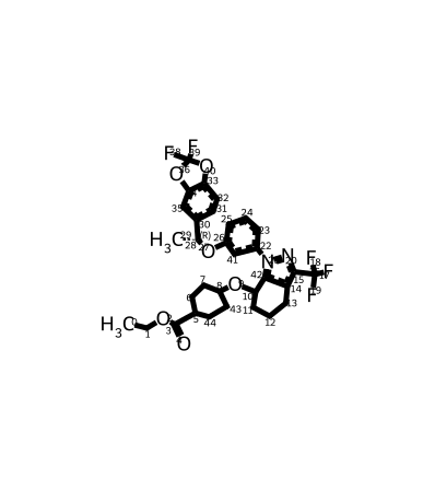 CCOC(=O)C1CCC(OC2CCCc3c(C(F)(F)F)nn(-c4cccc(O[C@H](C)c5ccc6c(c5)OC(F)(F)O6)c4)c32)CC1